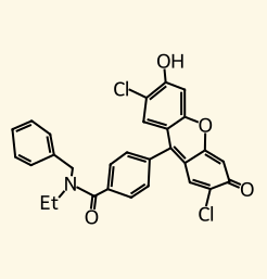 CCN(Cc1ccccc1)C(=O)c1ccc(-c2c3cc(Cl)c(=O)cc-3oc3cc(O)c(Cl)cc23)cc1